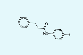 O=C(CCc1ccccc1)Nc1ccc(I)cc1